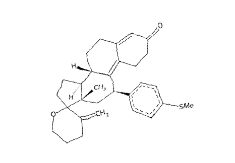 C=C1CCCOC12CC[C@H]1[C@@H]3CCC4=CC(=O)CCC4=C3[C@@H](c3ccc(SC)cc3)C[C@@]12C